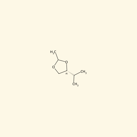 CC1OC[C@@H](C(C)C)O1